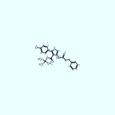 CC(C)(C)OC(=O)c1c(NC(=O)CCc2ccccc2)csc1-c1ccc(Cl)cc1